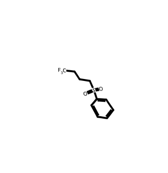 O=S(=O)(CCCC(F)(F)F)c1ccccc1